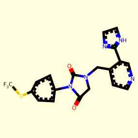 O=C1CN(Cc2ccncc2-c2ncc[nH]2)C(=O)N1c1ccc(SC(F)(F)F)cc1